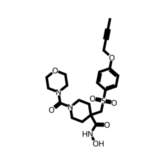 CC#CCOc1ccc(S(=O)(=O)CC2(C(=O)NO)CCN(C(=O)N3CCOCC3)CC2)cc1